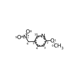 COc1ccc(C[N+](=O)[O-])cn1